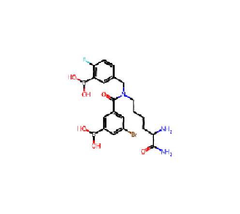 NC(=O)C(N)CCCCN(Cc1ccc(F)c(B(O)O)c1)C(=O)c1cc(Br)cc(B(O)O)c1